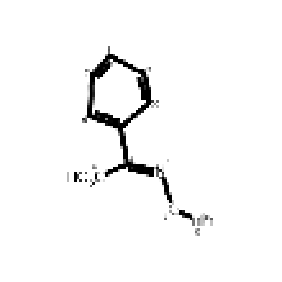 CCCON=C(C(=O)O)c1ccccc1